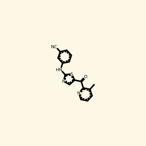 Cc1cccnc1C(=O)c1cnc(Nc2cccc(C#N)c2)s1